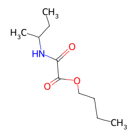 CCCCOC(=O)C(=O)NC(C)CC